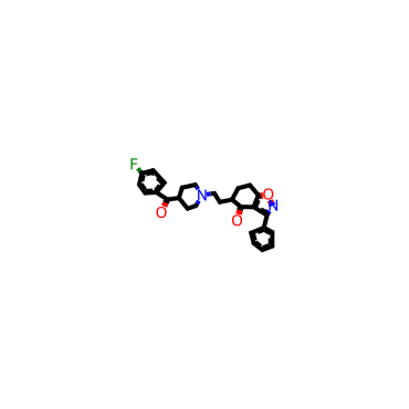 O=C(c1ccc(F)cc1)C1CCN(CCC2CCc3onc(-c4ccccc4)c3C2=O)CC1